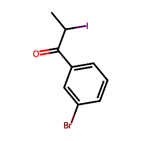 CC(I)C(=O)c1cccc(Br)c1